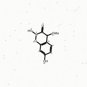 COC1C(=O)N(O)Oc2cc(O)ccc21